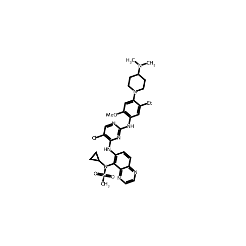 CCc1cc(Nc2ncc(Cl)c(Nc3ccc4nccnc4c3N(C3CC3)S(C)(=O)=O)n2)c(OC)cc1N1CCC(N(C)C)CC1